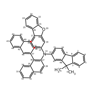 CC1(C)c2ccccc2-c2ccc(N(c3ccc4c(c3)oc3ccccc34)c3ccc4ccccc4c3-c3ccc4ccccc4c3)cc21